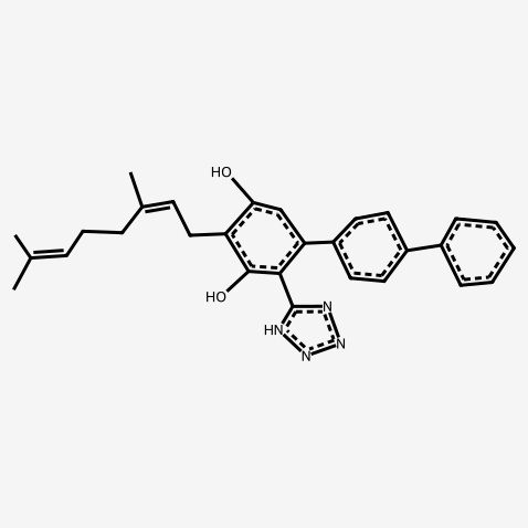 CC(C)=CCCC(C)=CCc1c(O)cc(-c2ccc(-c3ccccc3)cc2)c(-c2nnn[nH]2)c1O